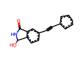 O=C1NC(O)c2ccc(C#Cc3ccccc3)cc21